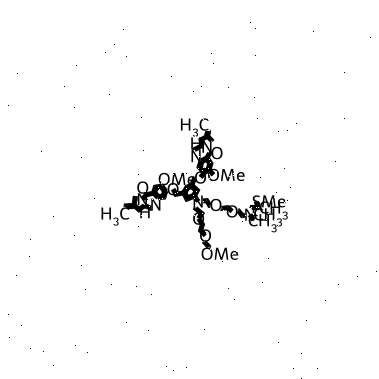 C/C=C1\C[C@H]2C=Nc3cc(OCc4cc(COc5cc6c(cc5OC)C(=O)N5C/C(=C/C)C[C@H]5C=N6)cc(N(CCOCCOCCOC)CCOCCOCCN(C)CC(C)(C)SC)c4)c(OC)cc3C(=O)N2C1